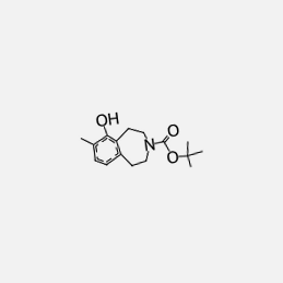 Cc1ccc2c(c1O)CCN(C(=O)OC(C)(C)C)CC2